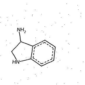 NC1CNc2ccccc21